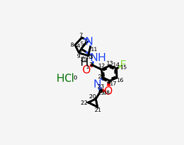 Cl.O=C(N[C@@H]1CN2CCC1CC2)c1cc(F)cc2oc(C3CC3)nc12